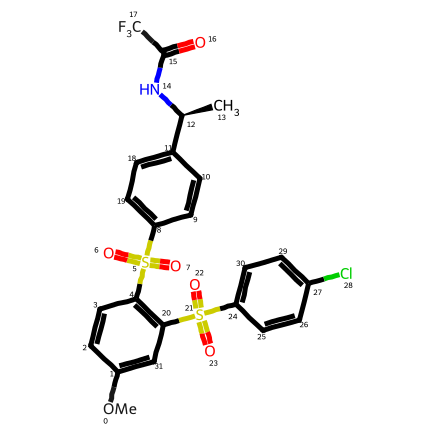 COc1ccc(S(=O)(=O)c2ccc([C@H](C)NC(=O)C(F)(F)F)cc2)c(S(=O)(=O)c2ccc(Cl)cc2)c1